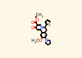 CCOC(=O)c1cn2c(cc1=O)-c1cc(OC)c(N3CCCC3)cc1CC2c1cccs1